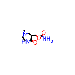 CN1CCNC(=O)C(COC(N)=O)C1